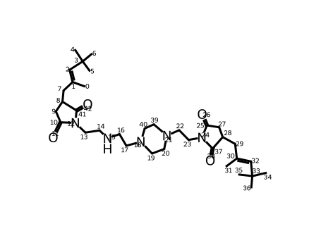 C/C(=C\C(C)(C)C)CC1CC(=O)N(CCNCCN2CCN(CCN3C(=O)CC(C/C(C)=C/C(C)(C)C)C3=O)CC2)C1=O